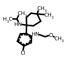 COCNc1cc(Cl)ccc1C1(NC(C)C)CCC(C)(C)CC1